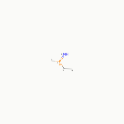 CC[PH](C)=N